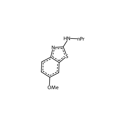 CCCNc1nc2ccc(OC)cc2s1